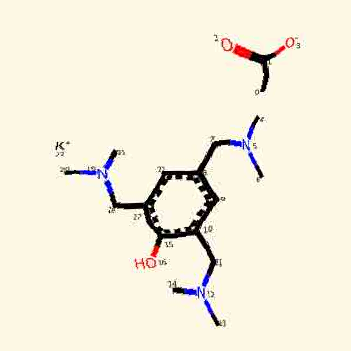 CC(=O)[O-].CN(C)Cc1cc(CN(C)C)c(O)c(CN(C)C)c1.[K+]